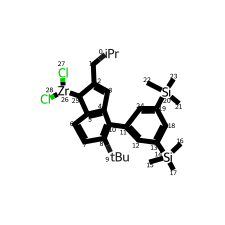 CC(C)CC1=Cc2c(ccc(C(C)(C)C)c2-c2cc([Si](C)(C)C)cc([Si](C)(C)C)c2)[CH]1[Zr]([Cl])[Cl]